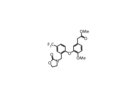 COC(=O)Cc1ccc(OC)c(Oc2ccc(C(F)(F)F)cc2CN2CCOC2=O)c1